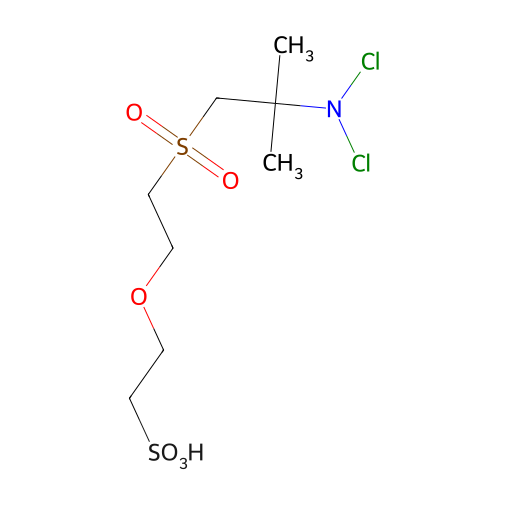 CC(C)(CS(=O)(=O)CCOCCS(=O)(=O)O)N(Cl)Cl